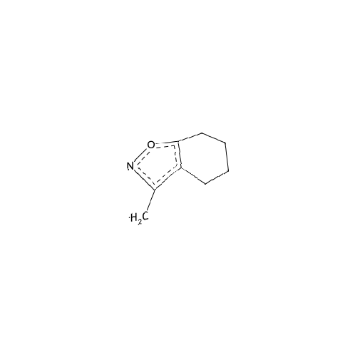 [CH2]c1noc2c1CCCC2